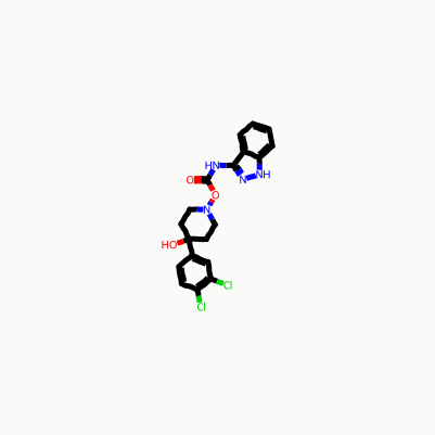 O=C(Nc1n[nH]c2ccccc12)ON1CCC(O)(c2ccc(Cl)c(Cl)c2)CC1